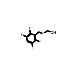 OCSCc1c(F)c(F)cc(F)c1F